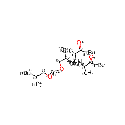 CC(C(=O)[O-])C(=O)C(C)(C)C.CC(C(=O)[O-])C(=O)C(C)(C)C.CCCCC(CC)C[O][Zr+2][O]CC(CC)CCCC